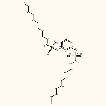 CCCCCCCCCCOP(=O)(O)Oc1cccc(OP(=O)(O)OCCCCCCCCCC)c1